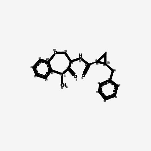 CN1C(=O)C(NC(=O)[C@@H]2C[C@H]2Cc2ccccc2)COc2ccccc21